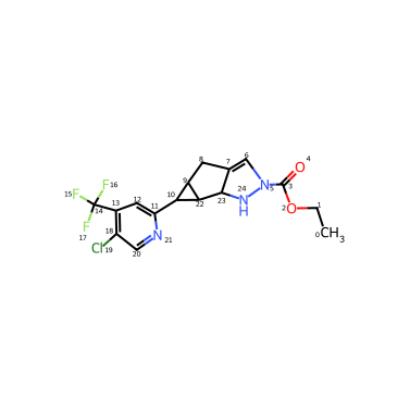 CCOC(=O)N1C=C2CC3C(c4cc(C(F)(F)F)c(Cl)cn4)C3C2N1